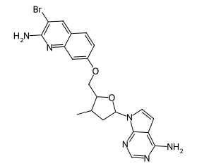 CC1CC(n2ccc3c(N)ncnc32)OC1COc1ccc2cc(Br)c(N)nc2c1